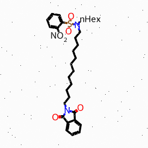 CCCCCCN(CCCCCCCCCCCCN1C(=O)c2ccccc2C1=O)S(=O)(=O)c1ccccc1[N+](=O)[O-]